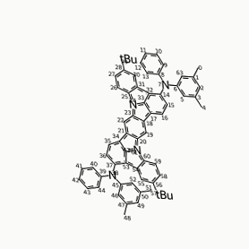 Cc1cc(C)cc(N(c2ccccc2)c2ccc3c4cc5c(cc4n4c6ccc(C(C)(C)C)cc6c2c34)c2ccc(N(c3ccccc3)c3cc(C)cc(C)c3)c3c4cc(C(C)(C)C)ccc4n5c23)c1